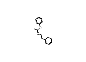 CC(OCCC1=CC=CCC1)Oc1ccccc1